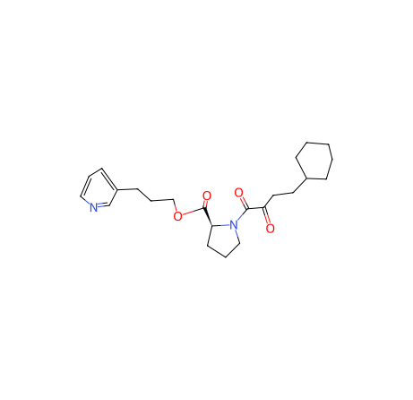 O=C(CCC1CCCCC1)C(=O)N1CCC[C@H]1C(=O)OCCCc1cccnc1